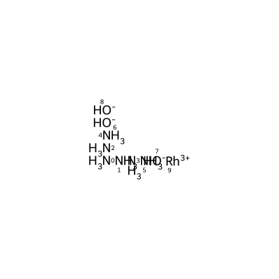 N.N.N.N.N.N.[OH-].[OH-].[OH-].[Rh+3]